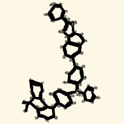 CC1(C)C2=C(c3ccccc31)C(c1ccc(N(c3ccccc3)c3ccc(-c4ccc5c(ccc6oc(-c7ccccc7)nc65)c4)cc3)cc1)CC=C2